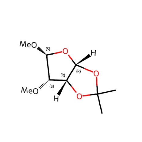 CO[C@H]1O[C@@H]2OC(C)(C)O[C@@H]2[C@@H]1OC